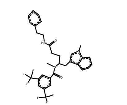 CN(C(=O)c1cc(C(F)(F)F)cc(C(F)(F)F)c1)C(CCC(=O)NCCc1ccccn1)Cc1cn(C)c2ccccc12